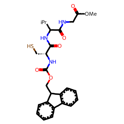 COC(=O)CNC(=O)C(NC(=O)[C@@H](CS)NC(=O)OCC1c2ccccc2-c2ccccc21)C(C)C